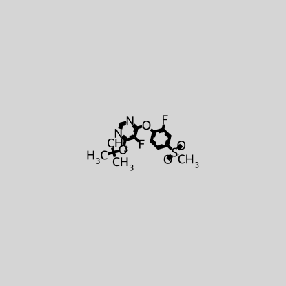 CC(C)(C)Oc1ncnc(Oc2ccc(S(C)(=O)=O)cc2F)c1F